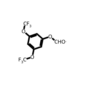 O=[C]Oc1cc(OC(F)(F)F)cc(OC(F)(F)F)c1